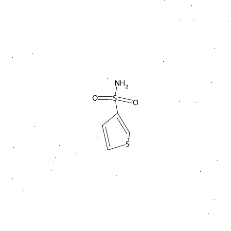 NS(=O)(=O)c1c[c]sc1